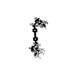 COC(=O)N[C@H](C(=O)N1[C@@H]2C[C@@H]2C[C@H]1c1nc(-c2ccc(C#Cc3ccc(-c4c[nH]c([C@@H]5C[C@H]6C[C@H]6N5C(=O)[C@H](C(C)C)N(C)C(=O)O)n4)cc3)cc2)c[nH]1)C(C)C